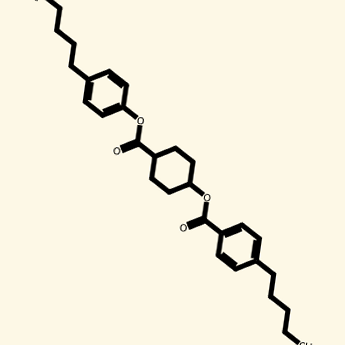 CCCCCc1ccc(OC(=O)C2CCC(OC(=O)c3ccc(CCCCC)cc3)CC2)cc1